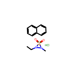 CCN1N(C)S1(=O)=O.Cl.c1ccc2ccccc2c1